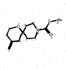 C=C1CCOC2(CCN(C(=O)OC(C)(C)C)CC2)C1